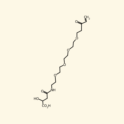 C=CC(=O)CCOCCOCCOCCOCCNC(=O)CC(O)C(=O)O